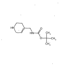 CC(C)(C)OC(=O)NCC1=CCNCC1